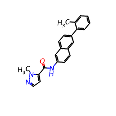 Cc1ccccc1-c1ccc2cc(NC(=O)c3ccnn3C)ccc2c1